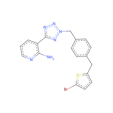 Nc1ncccc1-c1nnn(Cc2ccc(Cc3ccc(Br)s3)cc2)n1